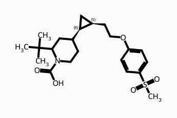 CC(C)(C)C1CC([C@H]2C[C@H]2CCOc2ccc(S(C)(=O)=O)cc2)CCN1C(=O)O